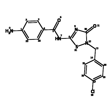 Nc1ccc(C(=O)Nc2nc(=O)n(Cc3ccc(Cl)cc3)s2)cc1